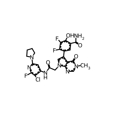 Cn1cnc2c(c(-c3cc(C(N)=O)c(O)c(F)c3F)cn2CC(=O)Nc2cc(N3CCCC3)nc(F)c2Cl)c1=O